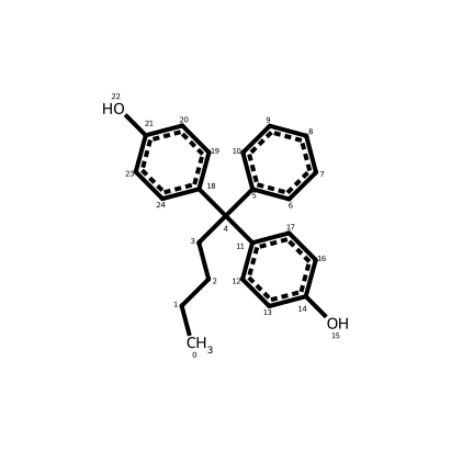 CCCCC(c1ccccc1)(c1ccc(O)cc1)c1ccc(O)cc1